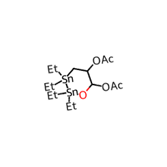 C[CH2][Sn]1([CH2]C)[CH2]C(OC(C)=O)C(OC(C)=O)[O][Sn]1([CH2]C)[CH2]C